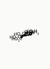 Nc1ccc(CC(CN(CCN(CC(=O)O)CC(=O)O)CC(=O)O)N(CC=O)CC(=O)O)cc1